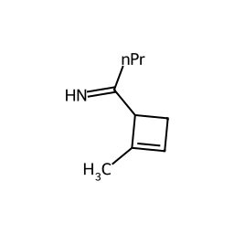 CCCC(=N)C1CC=C1C